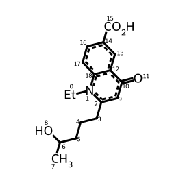 CCn1c(CCCC(C)O)cc(=O)c2cc(C(=O)O)ccc21